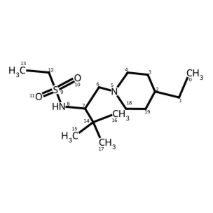 CCC1CCN(CC(NS(=O)(=O)CC)C(C)(C)C)CC1